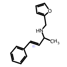 CC(/C=C/c1ccccc1)NCc1ccco1